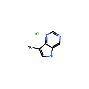 Cl.N#Cc1c[nH]c2cncnc12